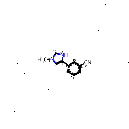 CN1C=C(c2cccc(C#N)c2)NC1